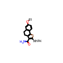 CCOc1ccc2c(c1)CCc1c-2sc(NC(C)=O)c1C(N)=O